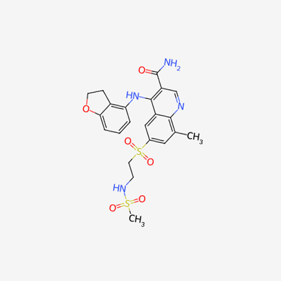 Cc1cc(S(=O)(=O)CCNS(C)(=O)=O)cc2c(Nc3cccc4c3CCO4)c(C(N)=O)cnc12